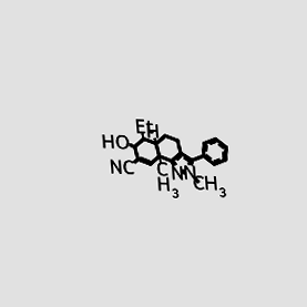 CC[C@@H]1C(O)C(C#N)=C[C@]2(C)c3nn(C)c(-c4ccccc4)c3CC[C@@H]12